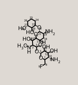 CNC1C(O[C@H]2OC(CF)[C@@H](N)C(O)C2O)O[C@H]2C[C@H](N)[C@@H](O[C@@H]3CCC[C@@H](O)C3O)OC2C1O